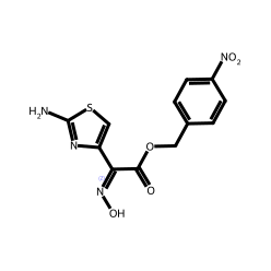 Nc1nc(/C(=N/O)C(=O)OCc2ccc([N+](=O)[O-])cc2)cs1